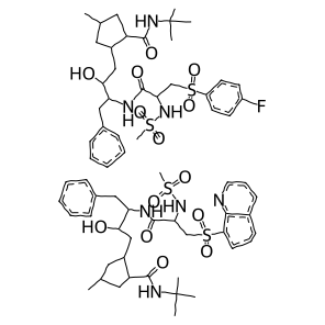 CC1CC(CC(O)C(Cc2ccccc2)NC(=O)C(CS(=O)(=O)c2ccc(F)cc2)NS(C)(=O)=O)C(C(=O)NC(C)(C)C)C1.CC1CC(CC(O)C(Cc2ccccc2)NC(=O)C(CS(=O)(=O)c2cccc3cccnc23)NS(C)(=O)=O)C(C(=O)NC(C)(C)C)C1